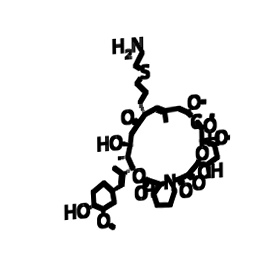 CO[C@H]1C/C(C)=C/[C@@H](CCCSCCN)C(=O)C[C@H](O)[C@@H](C)[C@@H](/C(C)=C/[C@@H]2CC[C@@H](O)[C@H](OC)C2)OC(=O)[C@@H]2CCCCN2C(=O)C(=O)[C@]2(O)O[C@H]([C@@H](OC)C1)[C@@H](OC)C[C@H]2C